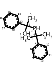 CC(C)(PC(C)(C)c1ccccc1)c1ccccc1